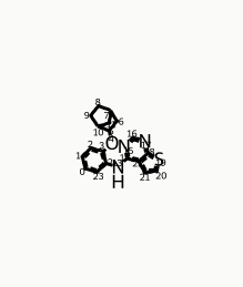 c1ccc(OC2CC3CCC2C3)c(Nc2ncnc3sccc23)c1